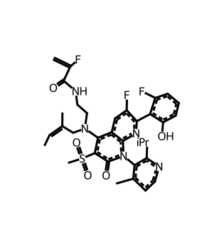 C=C(F)C(=O)NCCN(C/C(C)=C\C)c1c(S(C)(=O)=O)c(=O)n(-c2c(C)ccnc2C(C)C)c2nc(-c3c(O)cccc3F)c(F)cc12